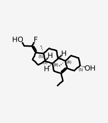 CCC1=C2C[C@@H](O)CC[C@]2(C)[C@H]2CC[C@]3(C)C(=C(F)CO)CC[C@H]3[C@@H]2C1